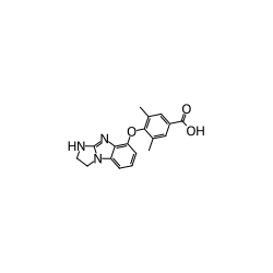 Cc1cc(C(=O)O)cc(C)c1Oc1cccc2c1nc1n2CCN1